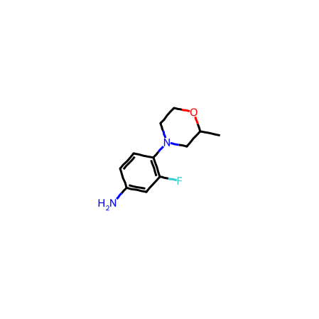 CC1CN(c2ccc(N)cc2F)CCO1